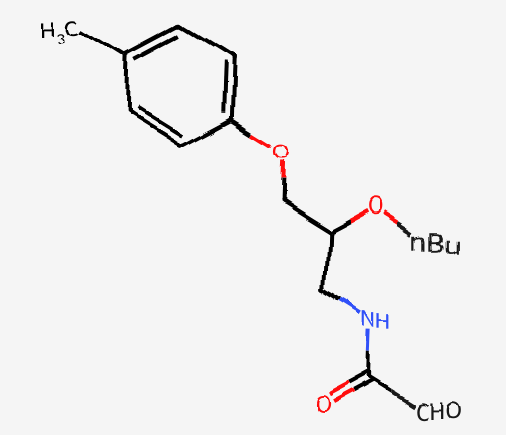 CCCCOC(CNC(=O)C=O)COc1ccc(C)cc1